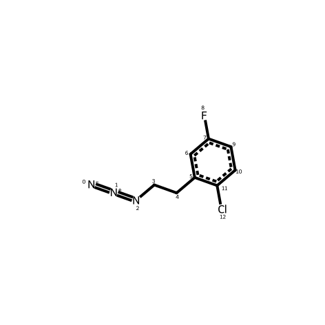 [N-]=[N+]=NCCc1cc(F)ccc1Cl